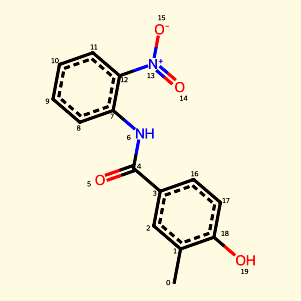 Cc1cc(C(=O)Nc2ccccc2[N+](=O)[O-])ccc1O